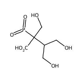 O=C(O)C(CO)(C(CO)CO)P(=O)=O